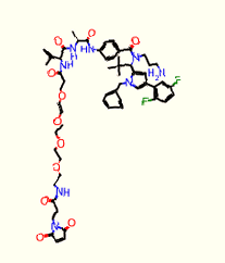 C=C(C)[C@H](NC(=O)CCOCCOCCOCCOCCNC(=O)CCN1C(=O)C=CC1=O)C(=O)N[C@@H](C)C(=O)Nc1ccc(C(=O)N(CCCN)[C@@H](c2cc(-c3cc(F)ccc3F)cn2Cc2ccccc2)C(C)(C)C)cc1